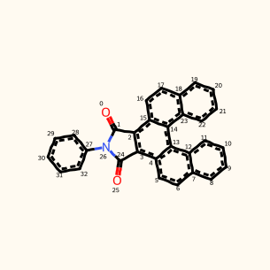 O=C1c2c(c3ccc4ccccc4c3c3c2ccc2ccccc23)C(=O)N1c1ccccc1